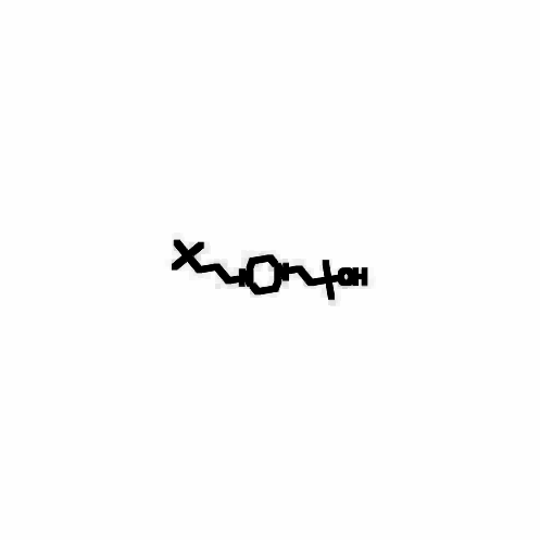 CC(C)(C)CCCN1CCN(CCC(C)(C)O)CC1